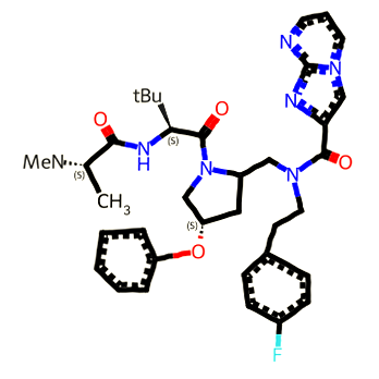 CN[C@@H](C)C(=O)N[C@H](C(=O)N1C[C@@H](Oc2ccccc2)CC1CN(CCc1ccc(F)cc1)C(=O)c1cn2cccnc2n1)C(C)(C)C